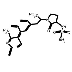 BS(=O)(=O)NC1CCN(C(C/C(C=C)=C/C(C=C)=C(C=C)/C(N)=N\C=C)C(=O)O)C1=O